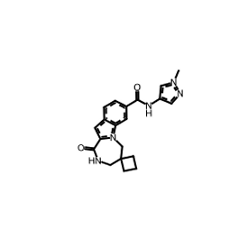 Cn1cc(NC(=O)c2ccc3cc4n(c3c2)CC2(CCC2)CNC4=O)cn1